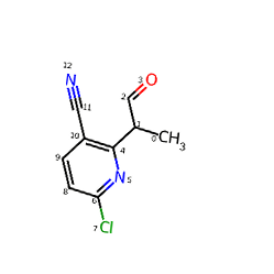 CC(C=O)c1nc(Cl)ccc1C#N